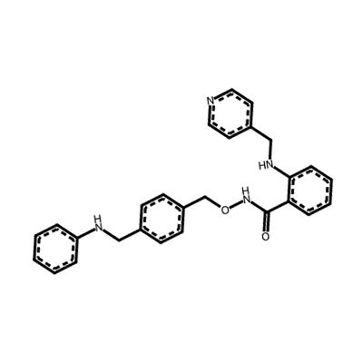 O=C(NOCc1ccc(CNc2ccccc2)cc1)c1ccccc1NCc1ccncc1